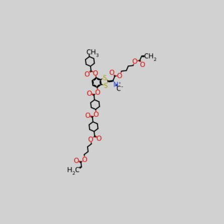 [C-]#[N+]/C(C(=O)OCCCCOC(=O)C=C)=C1/Sc2c(OC(=O)C3CCC(C)CC3)ccc(OC(=O)C3CCC(OC(=O)C4CCC(C(=O)OCCCCOC(=O)C=C)CC4)CC3)c2S1